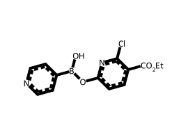 CCOC(=O)c1ccc(OB(O)c2ccncc2)nc1Cl